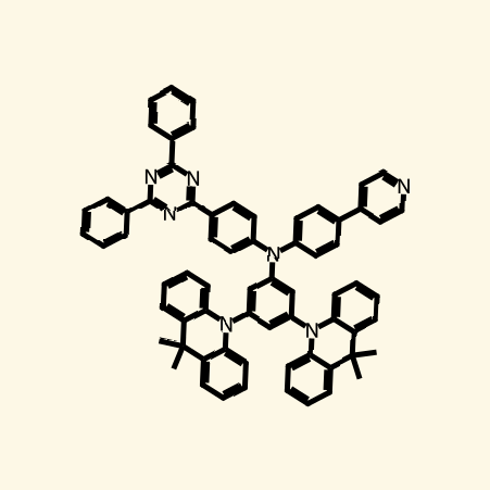 CC1(C)c2ccccc2N(c2cc(N(c3ccc(-c4ccncc4)cc3)c3ccc(-c4nc(-c5ccccc5)nc(-c5ccccc5)n4)cc3)cc(N3c4ccccc4C(C)(C)c4ccccc43)c2)c2ccccc21